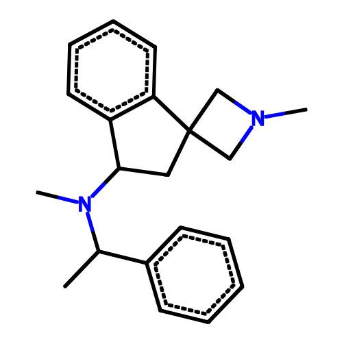 CC(c1ccccc1)N(C)C1CC2(CN(C)C2)c2ccccc21